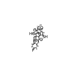 O=C(NCC1=CC=C(F)CC=C1F)c1c2n3c(c(O)c1=O)C(=O)N1CCOC1C3CC2S